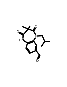 CC(C)CN1C(=O)C(C)(C)C(=O)Nc2ccc(C=O)cc21